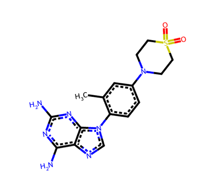 Cc1cc(N2CCS(=O)(=O)CC2)ccc1-n1cnc2c(N)nc(N)nc21